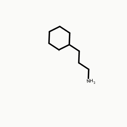 NCCCC1[CH]CCCC1